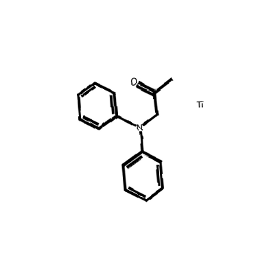 CC(=O)CN(c1ccccc1)c1ccccc1.[Ti]